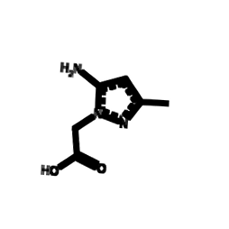 Cc1cc(N)n(CC(=O)O)n1